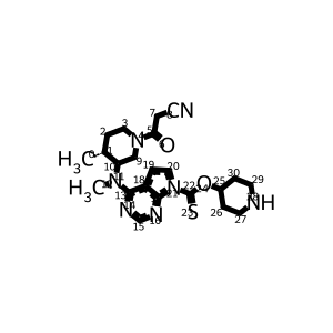 C[C@@H]1CCN(C(=O)CC#N)CC1N(C)c1ncnc2c1ccn2C(=S)OC1CCNCC1